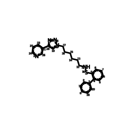 c1ccc(-c2ccccc2SNCCCCCCn2cc(-c3cccnc3)nn2)cc1